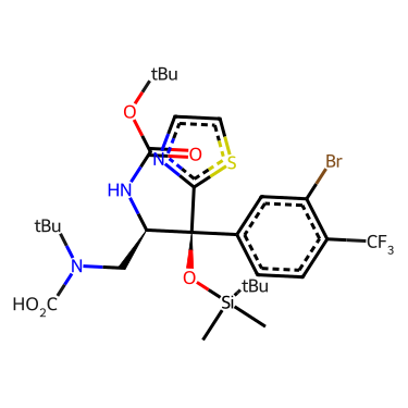 CC(C)(C)OC(=O)N[C@H](CN(C(=O)O)C(C)(C)C)[C@@](O[Si](C)(C)C(C)(C)C)(c1ccc(C(F)(F)F)c(Br)c1)c1nccs1